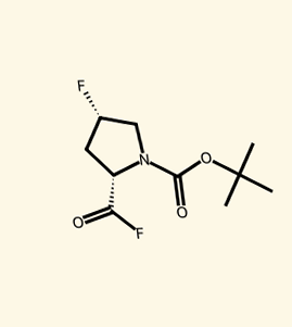 CC(C)(C)OC(=O)N1C[C@@H](F)C[C@H]1C(=O)F